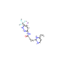 Cc1ccnc(C2CC2C(=O)Nc2cc(I)c(C(F)(F)F)nn2)n1